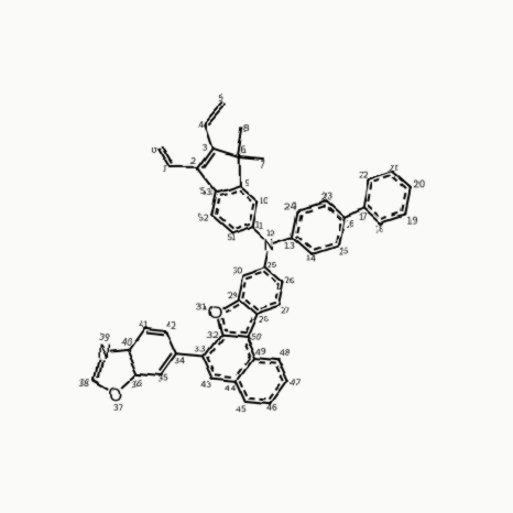 C=CC1=C(C=C)C(C)(C)c2cc(N(c3ccc(-c4ccccc4)cc3)c3ccc4c(c3)oc3c(C5=CC6OC=NC6C=C5)cc5ccccc5c34)ccc21